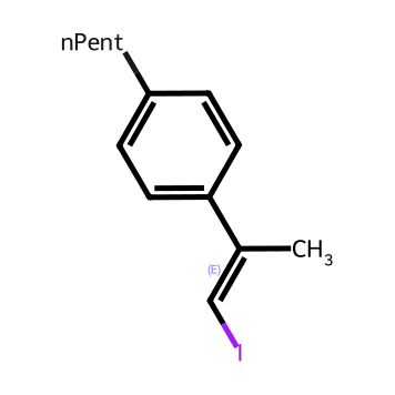 CCCCCc1ccc(/C(C)=C/I)cc1